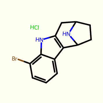 Brc1cccc2c3c([nH]c12)CC1CCC3N1.Cl